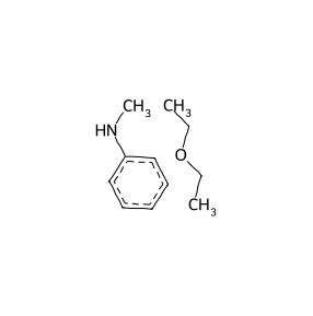 CCOCC.CNc1ccccc1